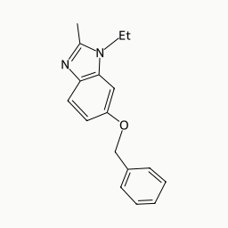 CCn1c(C)nc2ccc(OCc3ccccc3)cc21